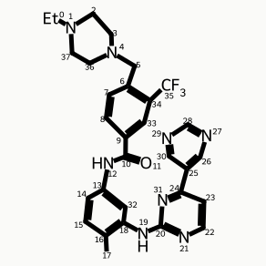 CCN1CCN(Cc2ccc(C(=O)Nc3ccc(C)c(Nc4nccc(-c5cncnc5)n4)c3)cc2C(F)(F)F)CC1